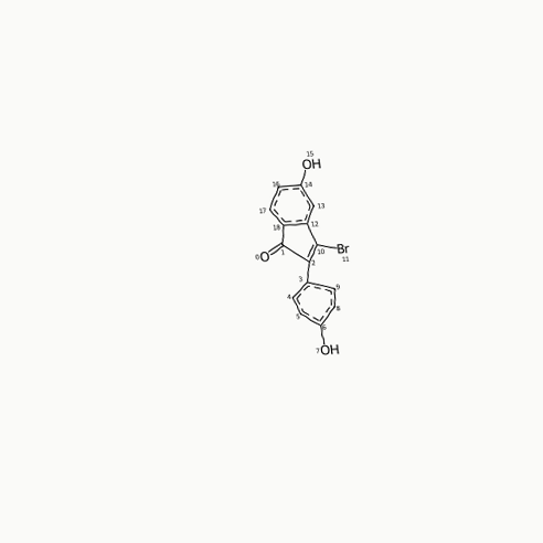 O=C1C(c2ccc(O)cc2)=C(Br)c2cc(O)ccc21